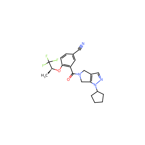 C[C@H](Oc1ccc(C#N)cc1C(=O)N1Cc2cnn(C3CCCC3)c2C1)C(F)(F)F